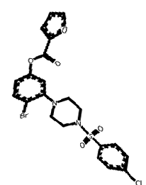 O=C(Oc1ccc(Br)c(N2CCN(S(=O)(=O)c3ccc(Cl)cc3)CC2)c1)c1ccco1